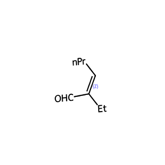 CCC/C=C(\C=O)CC